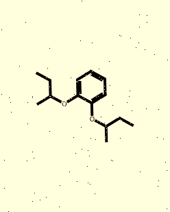 CCC(C)Oc1c[c]ccc1OC(C)CC